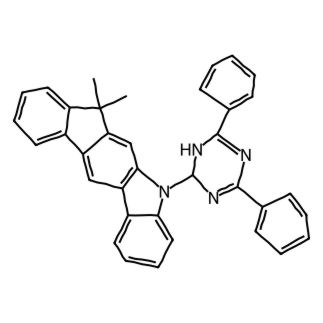 CC1(C)c2ccccc2-c2cc3c4ccccc4n(C4N=C(c5ccccc5)N=C(c5ccccc5)N4)c3cc21